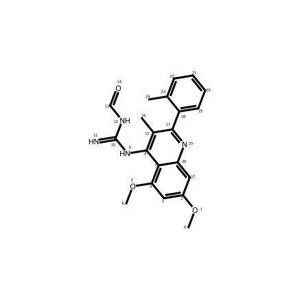 COc1cc(OC)c2c(NC(=N)NC=O)c(C)c(-c3ccccc3C)nc2c1